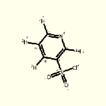 [2H]c1nc([2H])c(S(=O)(=O)Cl)c([2H])c1[2H]